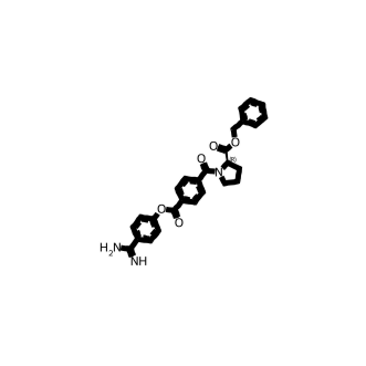 N=C(N)c1ccc(OC(=O)c2ccc(C(=O)N3CCC[C@@H]3C(=O)OCc3ccccc3)cc2)cc1